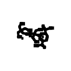 CC(C)(CO)CO.CCC(CO)(CO)CO.O=C(O)c1ccc(C(=O)O)cc1